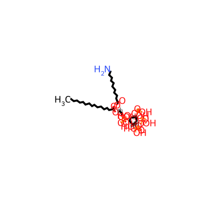 CCCCCCCCCCCCCCCC(=O)O[C@H](COC(=O)CCCCCCCCCCN)COP(=O)(O)OC1C(O)[C@@H](OP(=O)(O)O)C(OP(=O)(O)O)[C@@H](OP(=O)(O)O)[C@H]1O